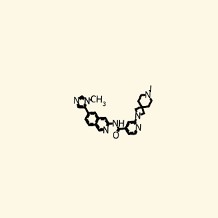 Cn1cncc1-c1ccc2cnc(NC(=O)c3ccnc(N4CC5(CCN(I)CC5)C4)c3)cc2c1